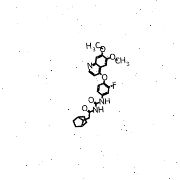 COc1cc2nccc(Oc3ccc(NC(=O)NC(=O)CC4C5CCC4CC5)cc3F)c2cc1OC